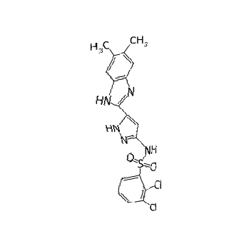 Cc1cc2nc(-c3cc(NS(=O)(=O)c4cccc(Cl)c4Cl)n[nH]3)[nH]c2cc1C